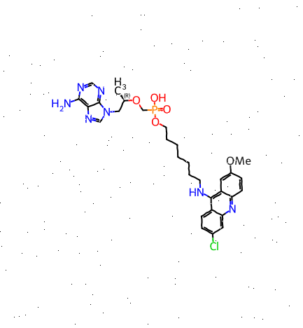 COc1ccc2nc3cc(Cl)ccc3c(NCCCCCCCOP(=O)(O)CO[C@H](C)Cn3cnc4c(N)ncnc43)c2c1